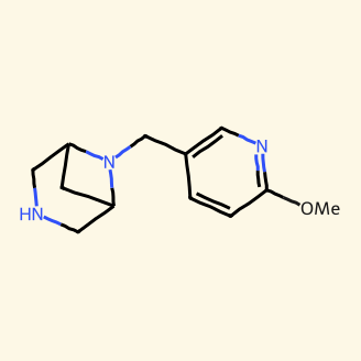 COc1ccc(CN2C3CNCC2C3)cn1